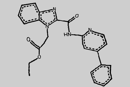 CCOC(=O)Cn1c(C(=O)Nc2cc(-c3ccccc3)ccn2)nc2ccccc21